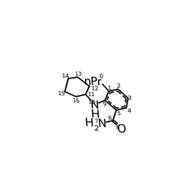 CCCc1cccc(C(N)=O)c1NC1CCCCC1